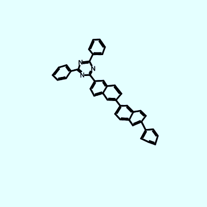 c1ccc(-c2ccc3cc(-c4ccc5cc(-c6nc(-c7ccccc7)nc(-c7ccccc7)n6)ccc5c4)ccc3c2)cc1